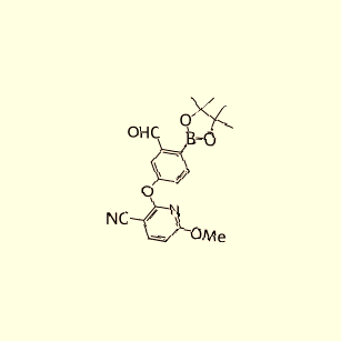 COc1ccc(C#N)c(Oc2ccc(B3OC(C)(C)C(C)(C)O3)c(C=O)c2)n1